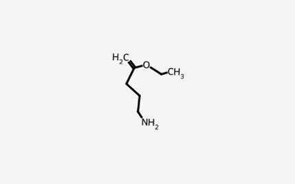 C=C(CCCN)OCC